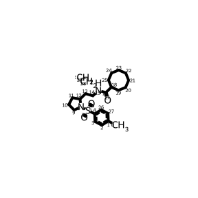 Cc1ccc(S(=O)(=O)N2CCCC2CCNC(=O)[C]2CCCCCCC2)cc1.[CH2].[CH2]